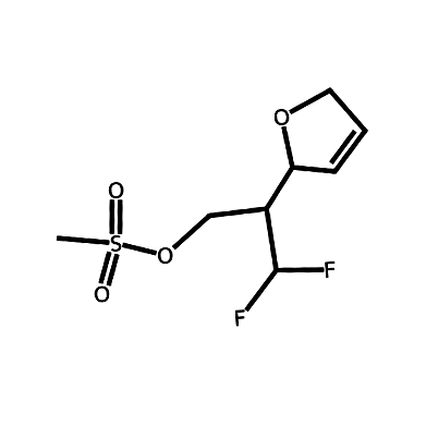 CS(=O)(=O)OCC(C(F)F)C1C=CCO1